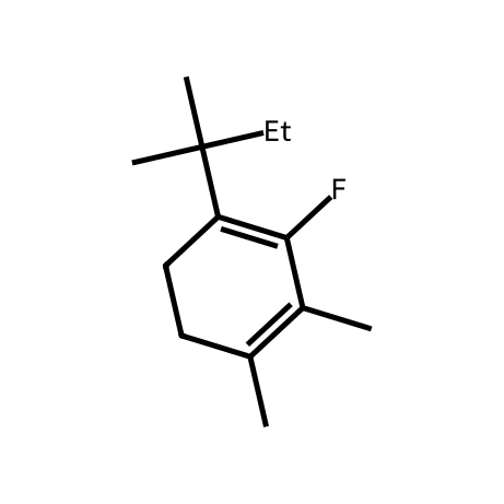 CCC(C)(C)C1=C(F)C(C)=C(C)CC1